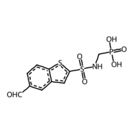 O=Cc1ccc2sc(S(=O)(=O)NCP(=O)(O)O)cc2c1